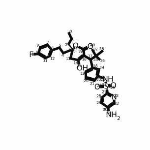 CCC[C@]1(CCc2ccc(F)cc2)CC(O)=C(C(c2cccc(NS(=O)(=O)c3ccc(N)cn3)c2)C(C)(C)C)C(=O)O1